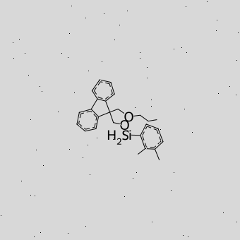 CCCOCC1(CO[SiH2]c2cccc(C)c2C)c2ccccc2-c2ccccc21